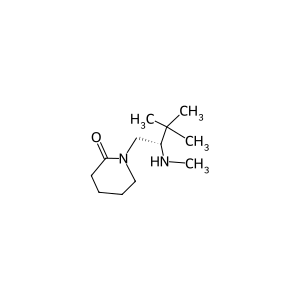 CN[C@H](CN1CCCCC1=O)C(C)(C)C